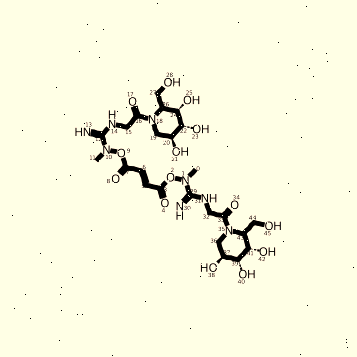 CN(OC(=O)/C=C/C(=O)ON(C)C(=N)NCC(=O)N1C[C@H](O)[C@@H](O)[C@@H](O)C1CO)C(=N)NCC(=O)N1C[C@H](O)[C@@H](O)[C@@H](O)C1CO